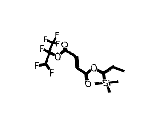 CCC(OC(=O)/C=C/C(=O)OC(F)(C(F)F)C(F)(F)F)[Si](C)(C)C